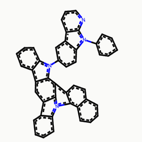 c1ccc(-n2c3ccc(-n4c5ccccc5c5cc6c7ccccc7n7c8c9ccccc9ccc8c(c54)c67)cc3c3cccnc32)cc1